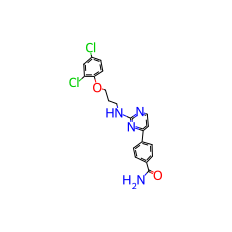 NC(=O)c1ccc(-c2ccnc(NCCCOc3ccc(Cl)cc3Cl)n2)cc1